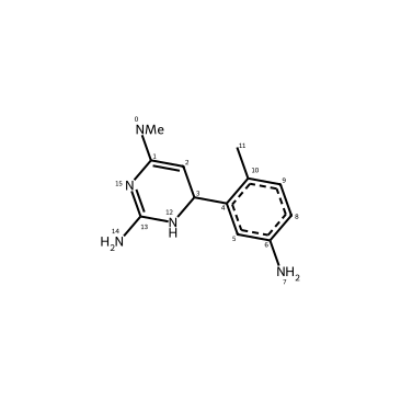 CNC1=CC(c2cc(N)ccc2C)NC(N)=N1